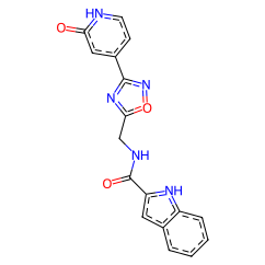 O=C(NCc1nc(-c2cc[nH]c(=O)c2)no1)c1cc2ccccc2[nH]1